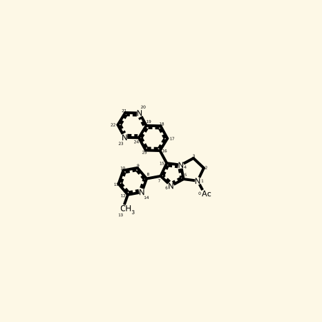 CC(=O)N1CCn2c1nc(-c1cccc(C)n1)c2-c1ccc2nccnc2c1